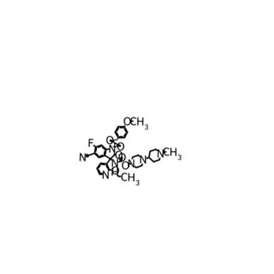 CCOc1ncccc1C1(NC(=O)ON2CCN(C3CCN(C)CC3)CC2)C(=O)N(S(=O)(=O)c2ccc(OC)cc2)c2cc(F)c(C#N)cc21